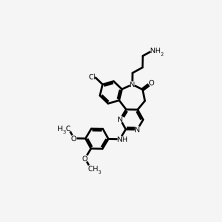 COc1ccc(Nc2ncc3c(n2)-c2ccc(Cl)cc2N(CCCN)C(=O)C3)cc1OC